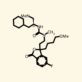 CNC[C@H](CC1CCCCC1)NC(=O)N(C)CCC1(CCCCOC)OC(=O)c2ccc(F)cc21